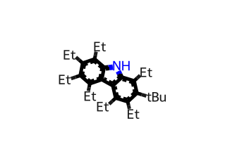 CCc1c(CC)c(CC)c2c([nH]c3c(CC)c(C(C)(C)C)c(CC)c(CC)c32)c1CC